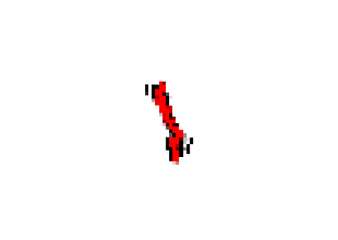 O=C1CCC(N2C(=O)c3ccc(N4CCC(CCN5CCN(c6ccc(-c7cnc8[nH]cc(C(=O)c9c(F)ccc(NS(=O)(=O)N%10CC[C@@H](F)C%10)c9F)c8c7)cc6)CC5)CC4)cc3C2=O)C(=O)N1